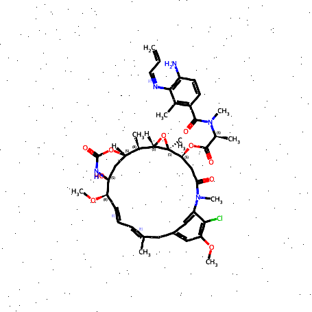 C=C/C=N\c1c(N)ccc(C(=O)N(C)[C@@H](C)C(=O)O[C@H]2CC(=O)N(C)c3cc(cc(OC)c3Cl)C/C(C)=C/C=C/[C@@H](OC)[C@@]3(O)C[C@H](OC(=O)N3)[C@@H](C)[C@@H]3O[C@@]23C)c1C